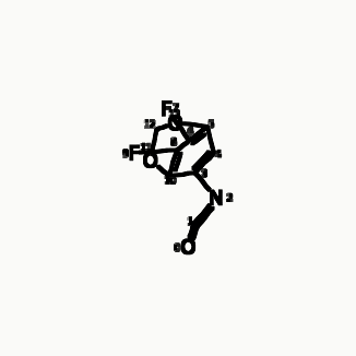 O=C=Nc1cc2c(F)c(F)c1OCO2